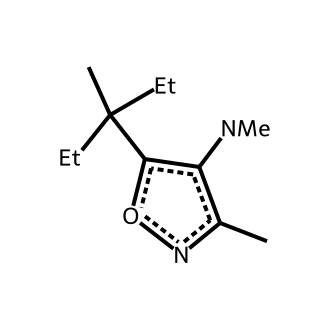 CCC(C)(CC)c1onc(C)c1NC